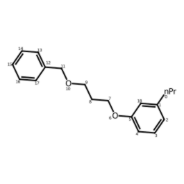 C[CH]Cc1cccc(OCCCOCc2ccccc2)c1